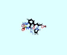 COCC(CC(=O)c1cccc2c1C(N)=NS(=O)(=O)N2)N1CCCC1